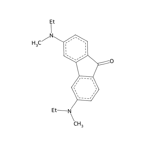 CCN(C)c1ccc2c(c1)-c1cc(N(C)CC)ccc1C2=O